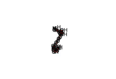 COc1cc2ncnc(Nc3ccc(Cl)c(Cl)c3F)c2cc1OC1CCN(C(=O)CCOCCOCCOCCOCCOCCC(=O)N[C@H](C(=O)N2C[C@H](O)C[C@H]2C(=O)NCc2ccc(-c3scnc3OC)cc2)C(C)(C)C)CC1